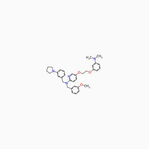 COc1cccc(CN(Cc2cccc(N3CCCC3)c2)c2ccc(OCCOc3cccc(N(C)C)c3)cn2)c1